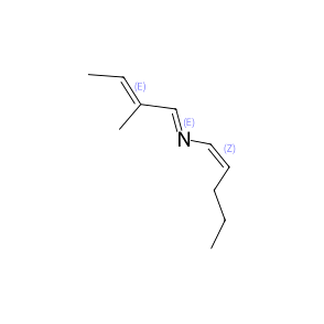 C/C=C(C)/C=N/C=C\CCC